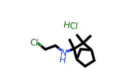 CC1(C)C2CCC(C2)C1(C)NCCCl.Cl